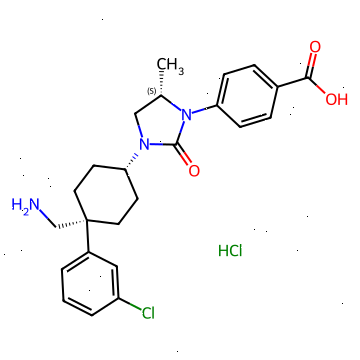 C[C@H]1CN([C@H]2CC[C@](CN)(c3cccc(Cl)c3)CC2)C(=O)N1c1ccc(C(=O)O)cc1.Cl